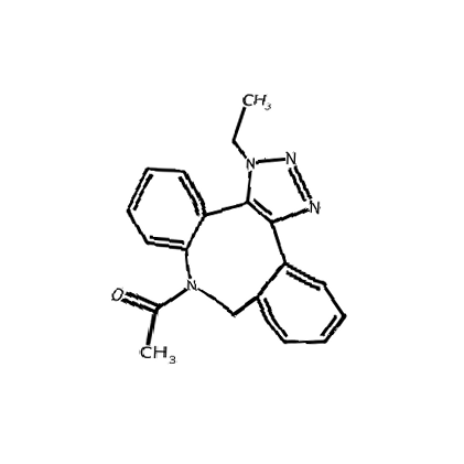 CCn1nnc2c1-c1ccccc1N(C(C)=O)Cc1ccccc1-2